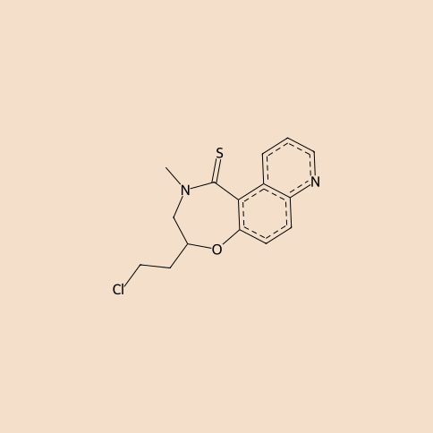 CN1CC(CCCl)Oc2ccc3ncccc3c2C1=S